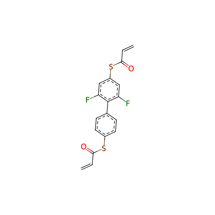 C=CC(=O)Sc1ccc(-c2c(F)cc(SC(=O)C=C)cc2F)cc1